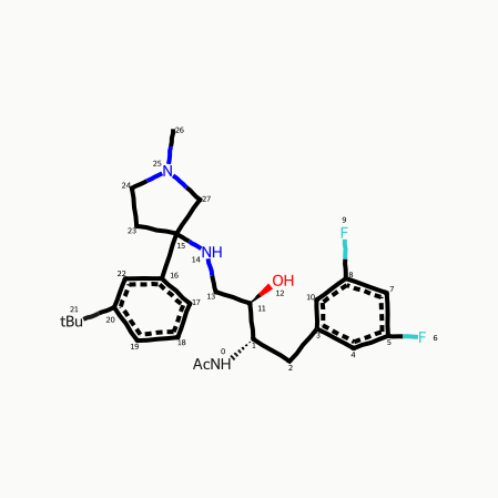 CC(=O)N[C@@H](Cc1cc(F)cc(F)c1)[C@H](O)CNC1(c2cccc(C(C)(C)C)c2)CCN(C)C1